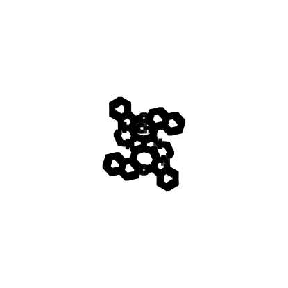 CC12C(=O)c3ccccc3N1CCN1C(c3cccc4ccccc34)=c3c(c(C4=c5ccccc5=CCC4)n4c3=C3C(=O)c5ccccc5N3CC4)C12